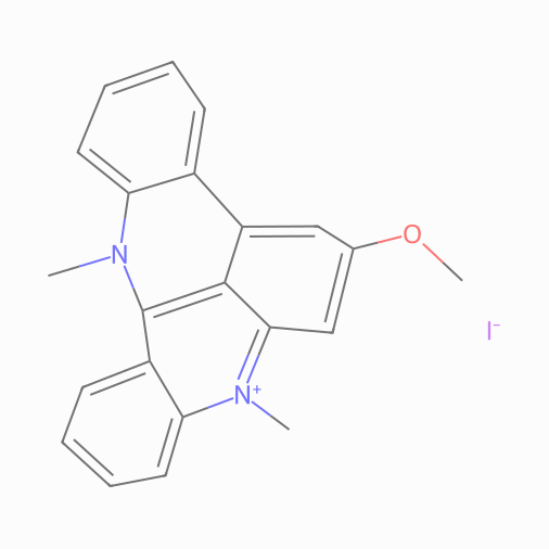 COc1cc2c3c(c4ccccc4[n+](C)c3c1)N(C)c1ccccc1-2.[I-]